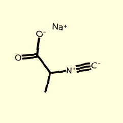 [C-]#[N+]C(C)C(=O)[O-].[Na+]